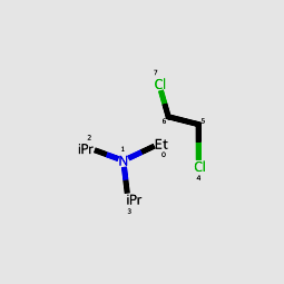 CCN(C(C)C)C(C)C.ClCCCl